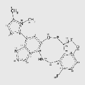 Cc1cnc(-c2cc3c(n4cnnc24)NCc2c(F)ccc4c2[C@H](CO4)CO3)n1C